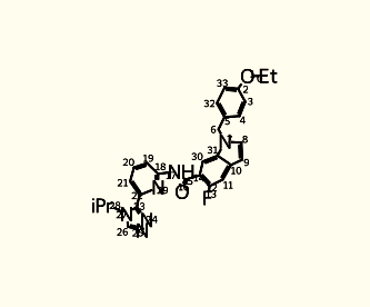 CCOc1ccc(Cn2ccc3cc(F)c(C(=O)Nc4cccc(-c5nncn5C(C)C)n4)cc32)cc1